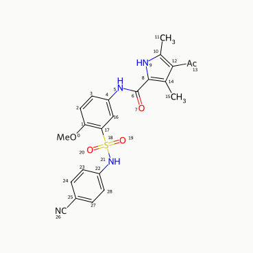 COc1ccc(NC(=O)c2[nH]c(C)c(C(C)=O)c2C)cc1S(=O)(=O)Nc1ccc(C#N)cc1